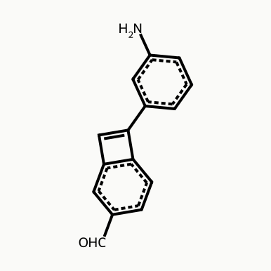 Nc1cccc(C2=Cc3cc(C=O)ccc32)c1